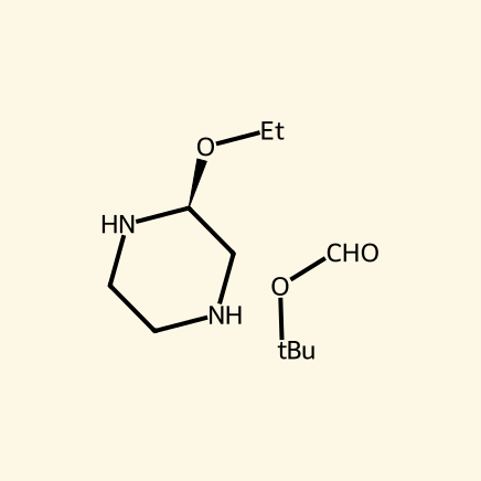 CC(C)(C)OC=O.CCO[C@H]1CNCCN1